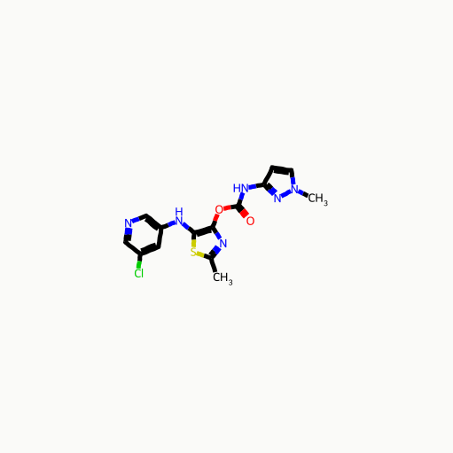 Cc1nc(OC(=O)Nc2ccn(C)n2)c(Nc2cncc(Cl)c2)s1